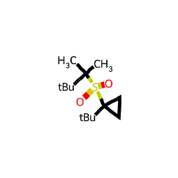 CC(C)(C)C(C)(C)S(=O)(=O)C1(C(C)(C)C)CC1